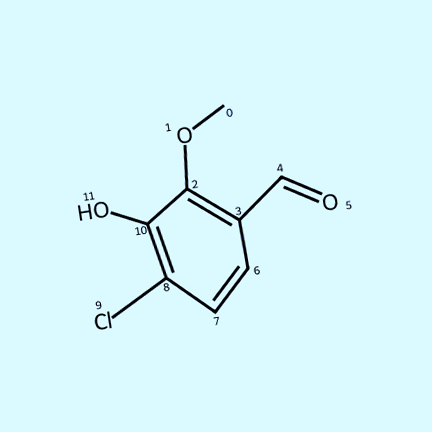 COc1c(C=O)ccc(Cl)c1O